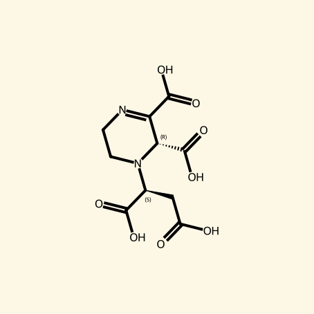 O=C(O)C[C@@H](C(=O)O)N1CCN=C(C(=O)O)[C@@H]1C(=O)O